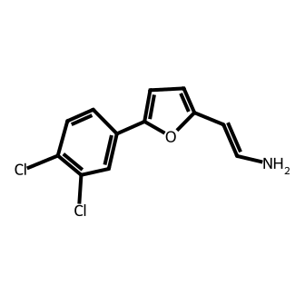 NC=Cc1ccc(-c2ccc(Cl)c(Cl)c2)o1